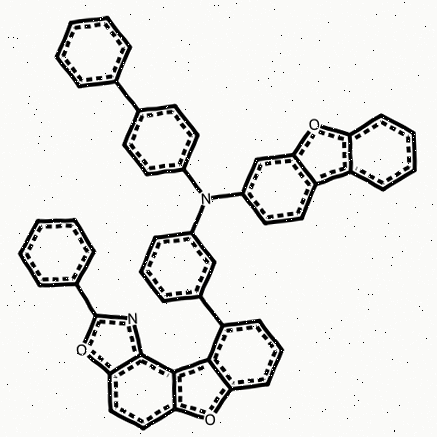 c1ccc(-c2ccc(N(c3cccc(-c4cccc5oc6ccc7oc(-c8ccccc8)nc7c6c45)c3)c3ccc4c(c3)oc3ccccc34)cc2)cc1